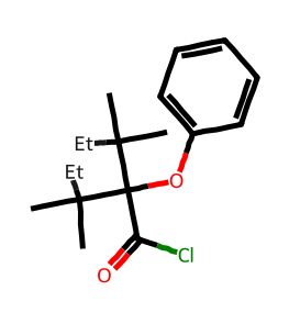 CCC(C)(C)C(Oc1ccccc1)(C(=O)Cl)C(C)(C)CC